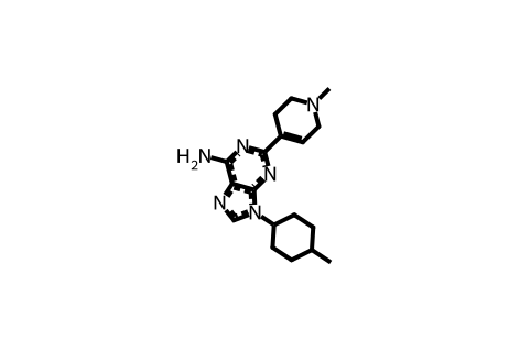 CC1CCC(n2cnc3c(N)nc(C4=CCN(C)CC4)nc32)CC1